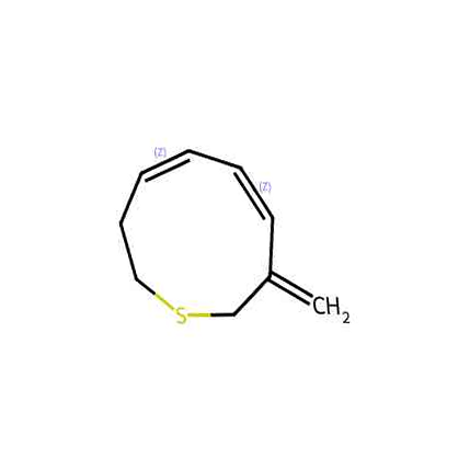 C=C1/C=C\C=C/CCSC1